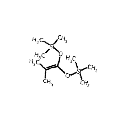 CC(C)=C(O[Si](C)(C)C)O[Si](C)(C)C